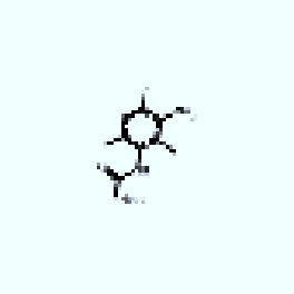 CCCCCCCC(=O)Nc1c(C)cc(C)c(N)c1C